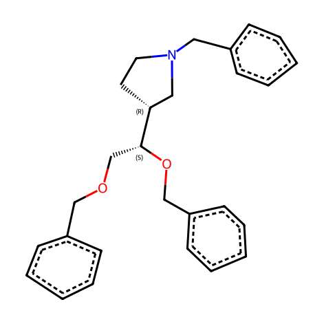 c1ccc(COC[C@@H](OCc2ccccc2)[C@@H]2CCN(Cc3ccccc3)C2)cc1